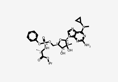 CC(C)OC(=O)[C@H](C)N[P@@](=O)(OC[C@H]1O[C@@H](n2cnc3c(N(C)C4CC4)nc(N)nc32)[C@](C)(O)[C@@H]1O)Oc1ccccc1